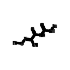 CCNC(=O)NC(=O)/C(C#N)=N/OCC